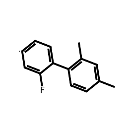 Cc1ccc(-c2cc[c]cc2F)c(C)c1